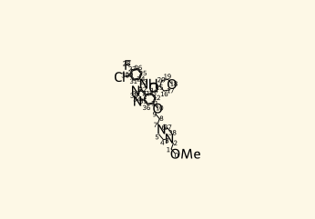 COCCN1CCN(CCCOc2cc(OC3CCOCC3)c3c(Nc4ccc(F)c(Cl)c4)ncnc3c2)CC1